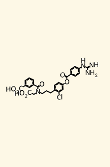 N=C(N)Nc1ccc(C(=O)Oc2ccc(CCCN(CC(=O)O)C(=O)c3cccc(C(=O)O)c3)c(Cl)c2)cc1